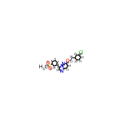 CS(=O)(=O)c1cccc(-c2cnc3ccc(OCCc4cccc(Cl)c4)nn23)c1